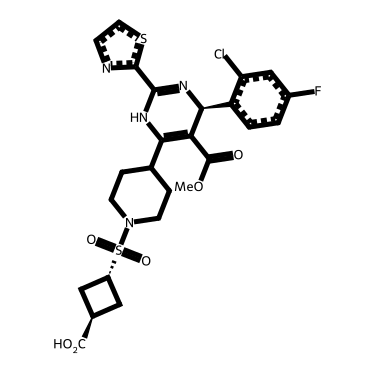 COC(=O)C1=C(C2CCN(S(=O)(=O)[C@H]3C[C@H](C(=O)O)C3)CC2)NC(c2nccs2)=N[C@H]1c1ccc(F)cc1Cl